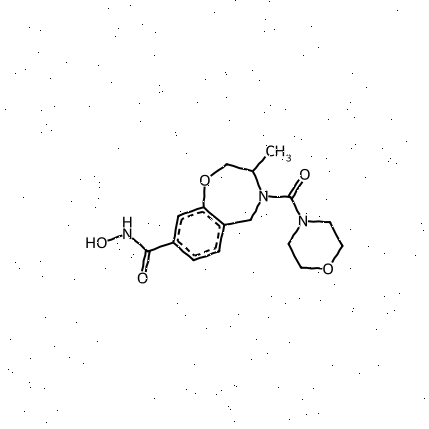 CC1COc2cc(C(=O)NO)ccc2CN1C(=O)N1CCOCC1